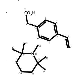 C=Cc1ccc(CC(=O)O)cc1.CN1C(C)(C)CCCC1(C)C